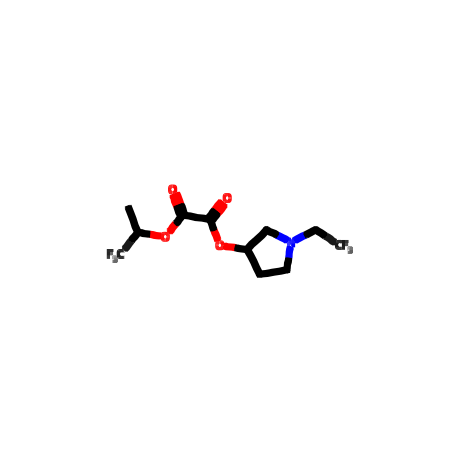 CC(OC(=O)C(=O)OC1CCN(CC(F)(F)F)C1)C(F)(F)F